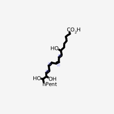 CCCCCC(O)C(O)/C=C/C=C\C=C/C=C/C(O)CCCCCC(=O)O